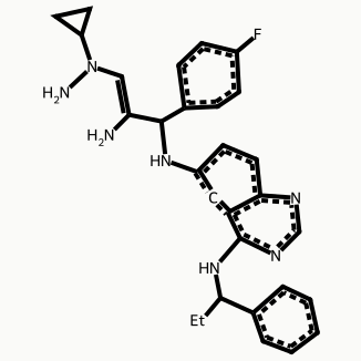 CCC(Nc1ncnc2ccc(NC(/C(N)=C/N(N)C3CC3)c3ccc(F)cc3)cc12)c1ccccc1